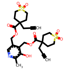 C#CCC1(C(=O)OCc2cnc(C)c(O)c2COC(=O)C2(CC#C)CCS(=O)(=O)CC2)CCS(=O)(=O)CC1